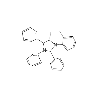 Cc1ccccc1N1C(c2ccccc2)N(c2ccccc2)C(c2ccccc2)[C@@H]1C